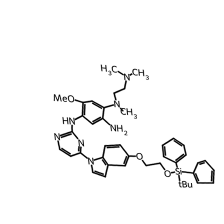 COc1cc(N(C)CCN(C)C)c(N)cc1Nc1nccc(-n2ccc3cc(OCCO[Si](c4ccccc4)(c4ccccc4)C(C)(C)C)ccc32)n1